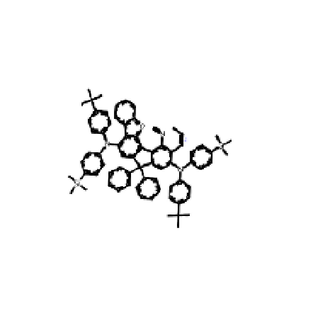 C=Nc1c(/C=C\C)c(N(c2ccc(C(C)(C)C)cc2)c2ccc([Si](C)(C)C)cc2)cc2c1-c1c(cc(N(c3ccc(C(C)(C)C)cc3)c3ccc([Si](C)(C)C)cc3)c3c1oc1ccccc13)C2(c1ccccc1)c1ccccc1